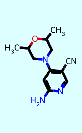 CC1CN(c2cc(N)ncc2C#N)CC(C)O1